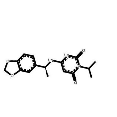 CC(C)n1c(=O)cc(N[C@@H](C)c2ccc3c(c2)OCO3)[nH]c1=O